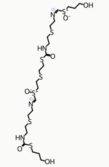 O=C(NCCSCC/N=C/[S+]([O-])CCSCCSC(=O)NCCSCC/N=C\[S+]([O-])CCCO)SCCCO